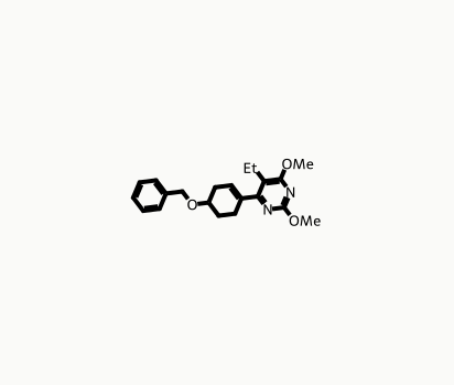 CCc1c(OC)nc(OC)nc1C1=CCC(OCc2ccccc2)CC1